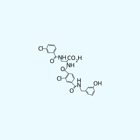 O=C(NCc1cccc(O)c1)c1ccc(C(=O)N[C@@H](CNC(=O)c2cccc(Cl)c2)C(=O)O)c(Cl)c1